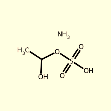 CC(O)OS(=O)(=O)O.N